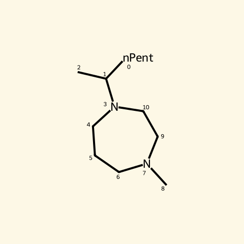 CCCCCC(C)N1CCCN(C)CC1